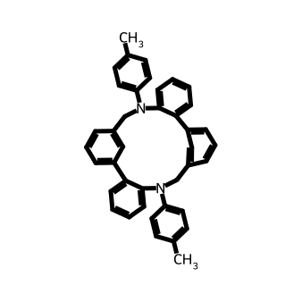 Cc1ccc(N2Cc3cccc(c3)-c3ccccc3N(c3ccc(C)cc3)Cc3cccc(c3)-c3ccccc32)cc1